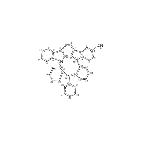 N#Cc1ccc2c(c1)c1ccc3c4ccccc4n4c5ccccc5n(-c5ccccc5)c5ccccc5n2c1c34